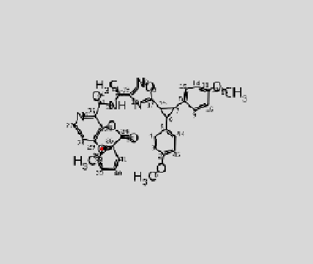 COc1ccc(C2C(c3ccc(OC)cc3)C2c2nc([C@H](C)NC(=O)c3nccc(OC)c3OC(=O)c3ccccc3)no2)cc1